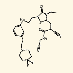 CCN1C(=O)C(CCNc2cccc(CCN3CCC(F)(F)CC3)c2)SC1CC(C#N)C(=O)NCC#N